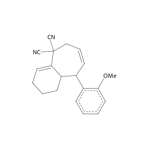 COc1ccccc1C1C=CCC(C#N)(C#N)C2=CCCCC21